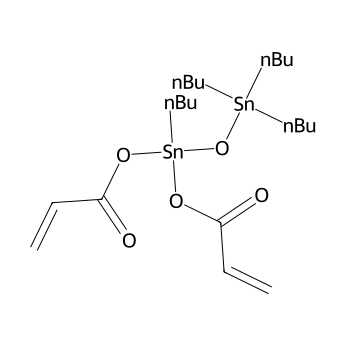 C=CC(=O)[O][Sn]([CH2]CCC)([O]C(=O)C=C)[O][Sn]([CH2]CCC)([CH2]CCC)[CH2]CCC